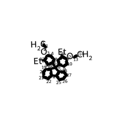 C=COc1ccc(C2(c3ccc(OC=C)c(CC)c3)c3ccccc3-c3ccccc32)cc1CC